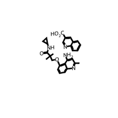 Cc1cc(N)c2c(OCC(C)(C)C(=O)NC3CC3)cccc2n1.O=C(O)c1cnc2ccccc2c1